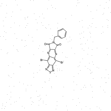 O=C1c2nc3c(Br)c4nsnc4c(Br)c3nc2C(=O)N1Cc1ccccc1